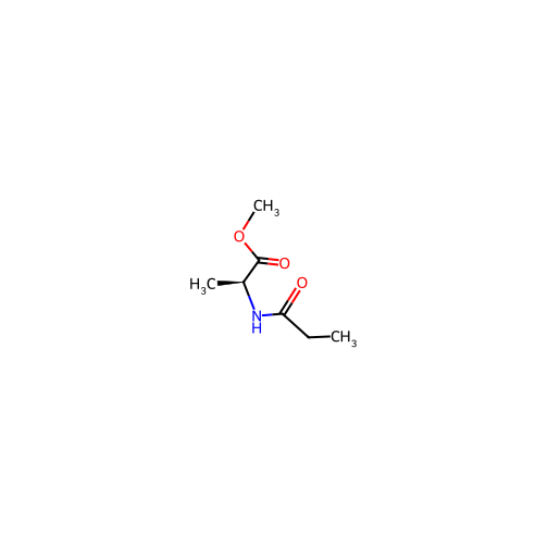 CCC(=O)N[C@@H](C)C(=O)OC